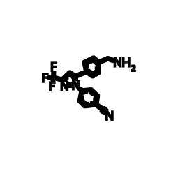 N#Cc1ccc(-n2nc(C(F)(F)F)cc2-c2ccc(CN)cc2)cc1